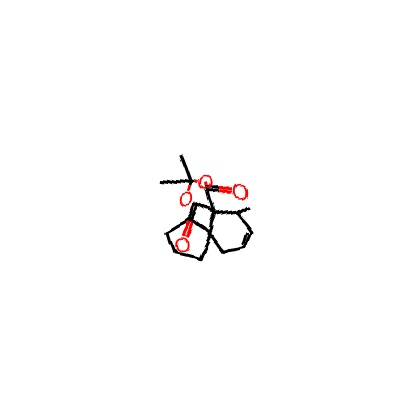 CC1C=CCC2(CCCC2)C12C(=O)OC(C)(C)OC2=O